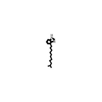 CC(C)CCCCCCCCCc1cccc2[nH][c]nc12